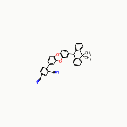 CC1(C)c2ccccc2C(c2ccc3c(c2)Oc2cc(-c4ccc(C#N)cc4C#N)ccc2O3)c2ccccc21